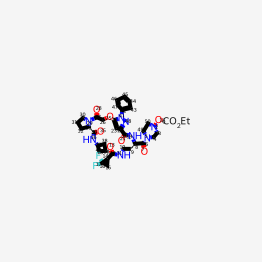 CCOC(=O)ON1CCN(C(=O)[C@H](CCNC(=O)C2CC2(F)F)NC(=O)c2cc(OCC(=O)N3CCC[C@H]3C(=O)NC3CCC3)n(-c3ccccc3)n2)CC1